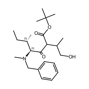 CC[C@H](C)[C@@H](C(=O)C(C(=O)OC(C)(C)C)C(C)CO)N(C)Cc1ccccc1